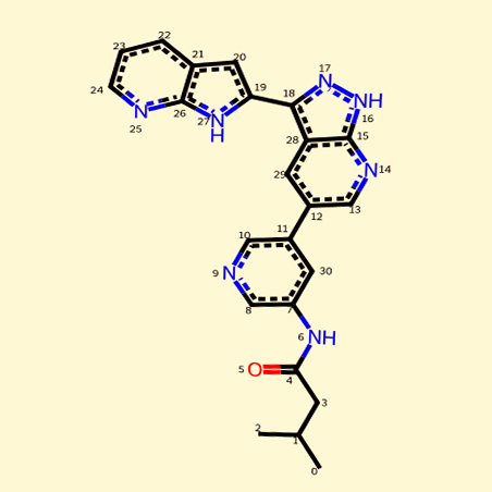 CC(C)CC(=O)Nc1cncc(-c2cnc3[nH]nc(-c4cc5cccnc5[nH]4)c3c2)c1